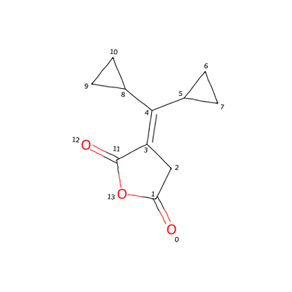 O=C1CC(=C(C2CC2)C2CC2)C(=O)O1